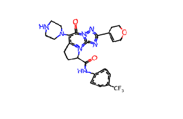 O=C(Nc1ccc(C(F)(F)F)cc1)C1CCc2c(N3CCNCC3)c(=O)n3nc(C4=CCOCC4)nc3n21